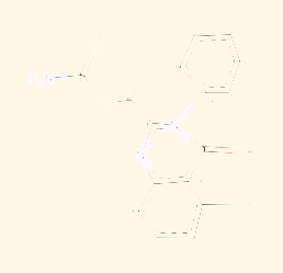 CC(OC(N)=O)c1nc2cccc(F)c2c(=O)n1-c1ccccc1